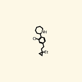 CCC1(CCc2ccc(C3CCCCCN3)c(Cl)c2)CC1